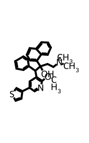 COc1ncc(-c2ccsc2)cc1C(c1ccccc1)C(O)(CCN(C)C)c1cccc2ccccc12